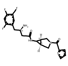 N[C@@H](CC(=O)NC1[C@H]2CN(C(=O)c3cccs3)C[C@@H]12)Cc1cc(F)c(F)cc1F